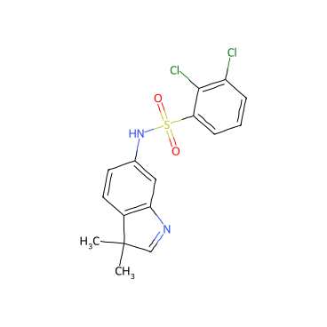 CC1(C)C=Nc2cc(NS(=O)(=O)c3cccc(Cl)c3Cl)ccc21